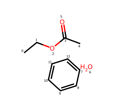 CCOC(C)=O.O.c1ccccc1